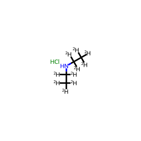 Cl.[2H]C([2H])([2H])C([2H])([2H])NC([2H])([2H])C([2H])([2H])[2H]